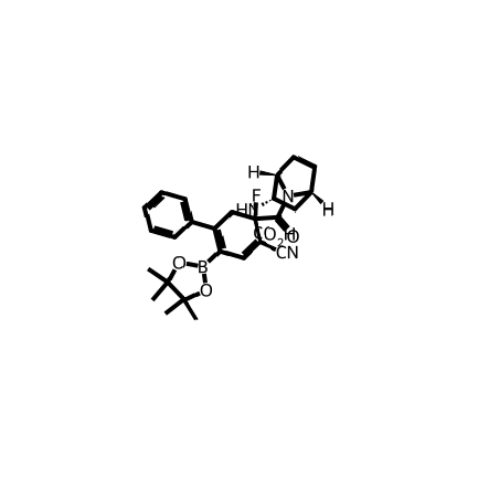 CC1(C)OB(C2=C(c3ccccc3)CC(F)(C(=O)N3[C@@H]4CC[C@H]3[C@@H](NC(=O)O)C4)C(C#N)=C2)OC1(C)C